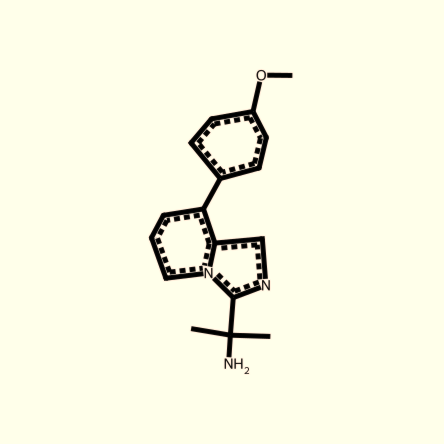 COc1ccc(-c2cccn3c(C(C)(C)N)ncc23)cc1